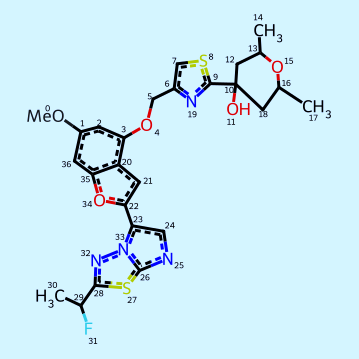 COc1cc(OCc2csc(C3(O)CC(C)OC(C)C3)n2)c2cc(-c3cnc4sc(C(C)F)nn34)oc2c1